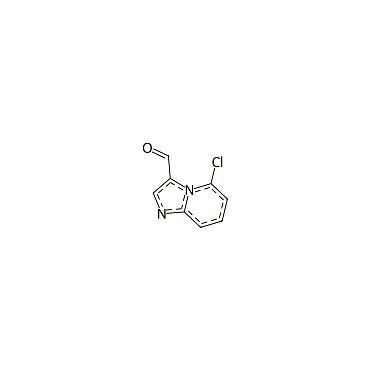 O=Cc1cnc2cccc(Cl)n12